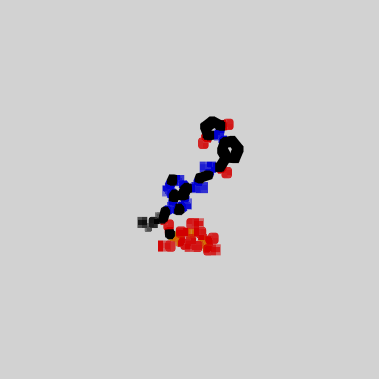 C[C@H](Cn1cnc2c(NCCNC(=O)c3cccc(N4C(=O)C=CC4=O)c3)ncnc21)OCP(=O)(O)OP(=O)(O)OP(=O)(O)O